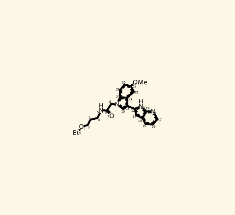 CCOCCCNC(=O)Cn1cc(-c2cc3cccnc3[nH]2)c2cc(OC)ccc21